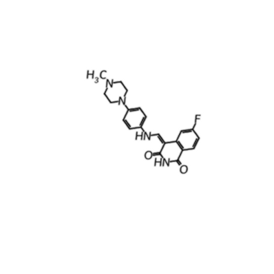 CN1CCN(c2ccc(NC=C3C(=O)NC(=O)c4ccc(F)cc43)cc2)CC1